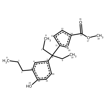 CCCc1cc(C(CC)(CC)c2ccc(C(=O)OC)s2)ccc1O